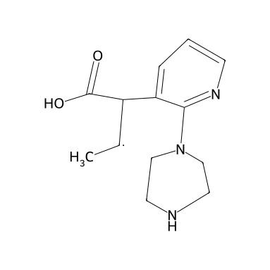 C[CH]C(C(=O)O)c1cccnc1N1CCNCC1